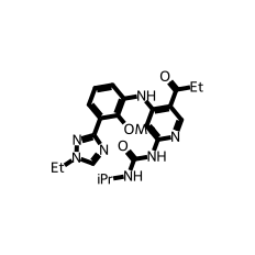 CCC(=O)c1cnc(NC(=O)NC(C)C)cc1Nc1cccc(-c2ncn(CC)n2)c1OC